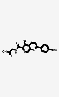 CC(C)(C)c1ccc(-c2ccc3c(N=O)c(C(=O)NCC(=O)N=O)ncc3n2)cc1